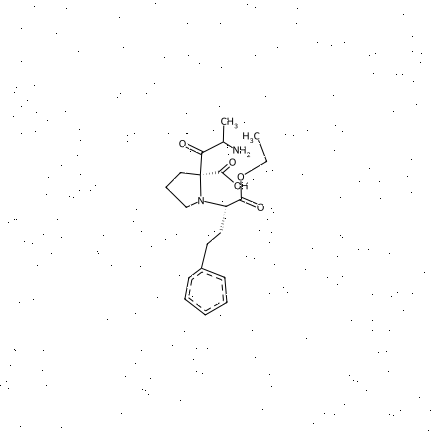 CCOC(=O)[C@H](CCc1ccccc1)N1CCC[C@@]1(C(=O)O)C(=O)C(C)N